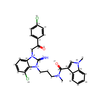 CN(CCCn1c(=N)n(CC(=O)c2ccc(Cl)cc2)c2cccc(Cl)c21)C(=O)c1cn(C)c2ccccc12